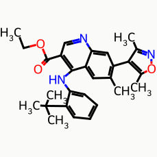 CCOC(=O)c1cnc2cc(-c3c(C)noc3C)c(C)cc2c1Nc1ccccc1C(C)(C)C